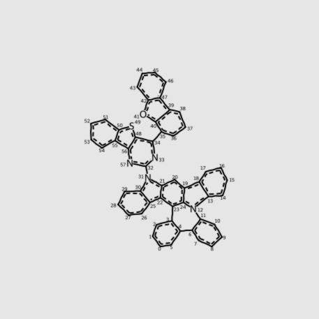 c1ccc2c(c1)-c1ccccc1-n1c3ccccc3c3cc4c(c-2c31)c1ccccc1n4-c1nc(-c2cccc3c2oc2ccccc23)c2sc3ccccc3c2n1